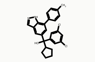 Cc1ccc(-c2cc(C(O)(c3cc(Cl)cc(Cl)c3)C3CCCC3)cc3cn[nH]c23)cc1